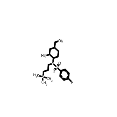 C[Si](C)(C)CCCN(C1CCC(CO)CC1O)S(=O)(=O)c1ccc(F)cc1